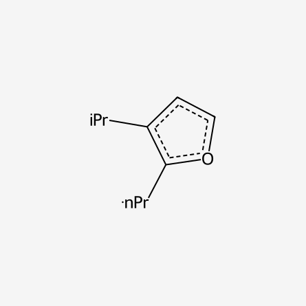 CC[CH]c1occc1C(C)C